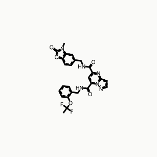 Cn1c(=O)oc2ccc(CNC(=O)c3cc(C(=O)NCc4ccccc4OC(C)(F)F)n4nccc4n3)cc21